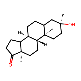 C[C@]1(O)CC[C@]2(C)C(CC[C@@H]3C4CCC(=O)[C@]4(C)CC[C@H]32)C1